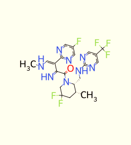 CN/C=C(\C(=N)C(=O)N1CC(F)(F)C[C@@H](C)[C@H]1CNc1ncc(C(F)(F)F)cn1)c1ncc(F)cn1